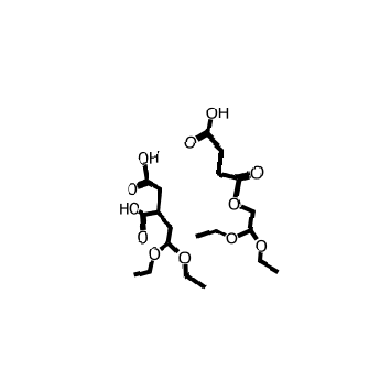 CCOC(CC(CC(=O)O)C(=O)O)OCC.CCOC(COC(=O)CCC(=O)O)OCC